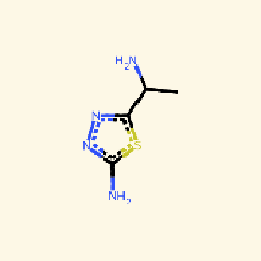 CC(N)c1nnc(N)s1